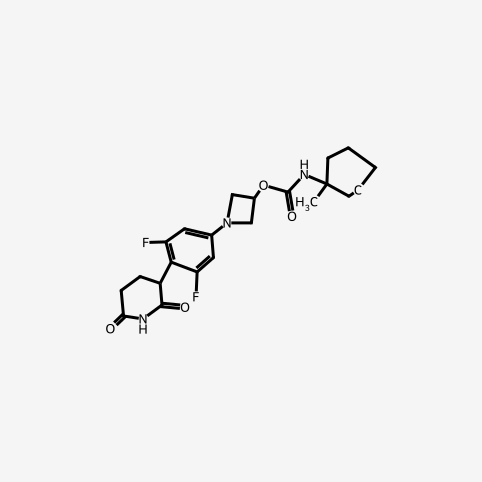 CC1(NC(=O)OC2CN(c3cc(F)c(C4CCC(=O)NC4=O)c(F)c3)C2)CCCCC1